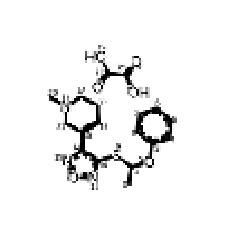 CC(Oc1ccccc1)Sc1nonc1C1=CCCN(C)C1.O=C(O)C(=O)O